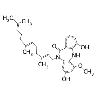 COc1cc(O)cc2c1Nc1c(O)cccc1C(=O)N2C/C=C(\C)CC/C=C(\C)CCC=C(C)C